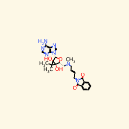 CN(CC=CCN1C(=O)c2ccccc2C1=O)C[C@H]1O[C@@H](n2cnc3c(N)ncnc32)[C@@]2(O)C(C)(C)[C@@]12O